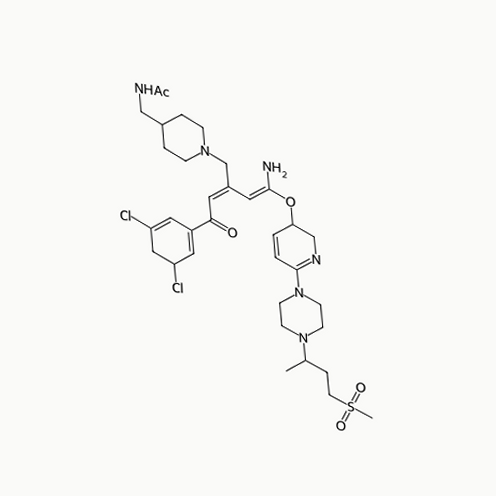 CC(=O)NCC1CCN(CC(=C/C(=O)C2=CC(Cl)CC(Cl)=C2)/C=C(\N)OC2C=CC(N3CCN(C(C)CCS(C)(=O)=O)CC3)=NC2)CC1